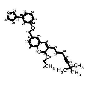 CCOC(=O)C(=Cc1cccc(COc2cccc(-c3ccsc3)c2)c1)CC=CC#CC(C)(C)C